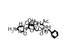 CC(=O)[C@H](C)NP(=O)(OCc1ccccc1)OC[C@H]1O[C@@H](n2ccc(N)nc2=O)[C@](C)(O)[C@@H]1O